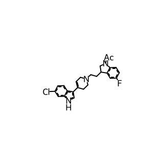 CC(=O)N1CC(CCN2CC=C(c3c[nH]c4cc(Cl)ccc34)CC2)c2cc(F)ccc21